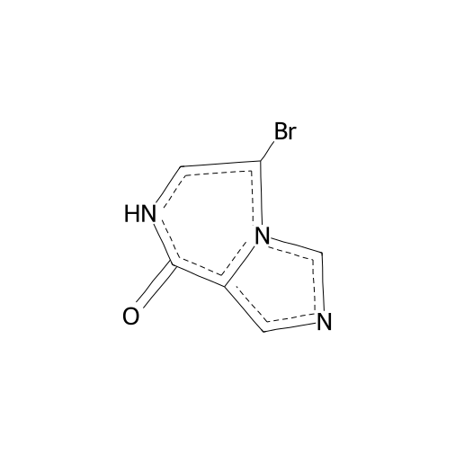 O=c1[nH]cc(Br)n2cncc12